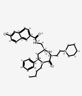 CCCCN1C(=O)[C@H](CCN2CCCCC2)N[C@H](CNC(=O)c2ccc3cc(Cl)ccc3c2)C[C@@H]1c1ccccc1